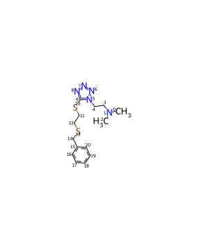 CN(C)CCn1nnnc1SCCSCc1ccccc1